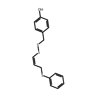 Oc1ccc(CSS/C=C\CSc2ccccc2)cc1